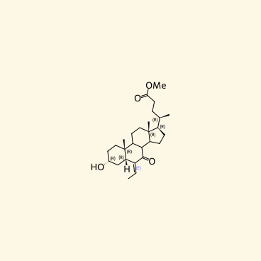 C/C=C1/C(=O)C2C3CC[C@H]([C@H](C)CCC(=O)OC)[C@@]3(C)CCC2[C@@]2(C)CC[C@@H](O)C[C@@H]12